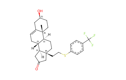 C[C@]12CC[C@H](O)CC1=CC[C@H]1[C@@H]3CC(=O)C[C@@]3(CCSc3ccc(C(F)(F)F)cc3)CC[C@@H]12